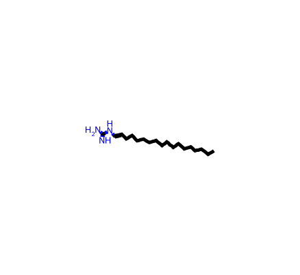 CCCCCCCCCCCCCCCCC=CNC(=N)N